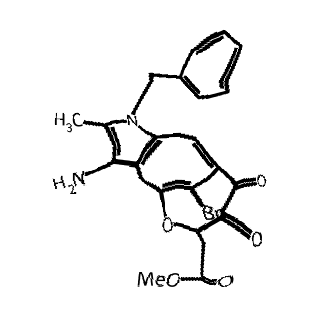 COC(=O)C1Oc2c(Br)c(cc3c2c(N)c(C)n3Cc2ccccc2)C(=O)C1=O